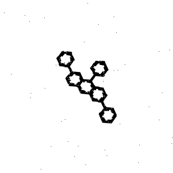 c1ccc(-c2ccc3c(-c4ccccc4)c4cc(-c5ccccc5)ccc4cc3c2)cc1